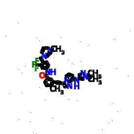 Cc1ccc(C(=O)Nc2ccc(CN3C=CCN(C)C=C3)c(C(F)(F)F)c2)cc1C#Cc1cnc2c(Nc3cnn(C(C)C)c3)cccn12